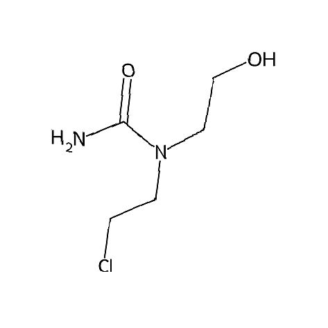 NC(=O)N(CCO)CCCl